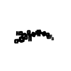 O=C(NC12CC(n3ccc(C4CC(OC(F)(F)F)C4)n3)(C1)C2)[C@H]1C[C@@H](O)c2cc(Cl)ccc2O1